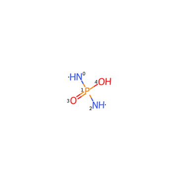 [NH]P([NH])(=O)O